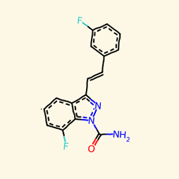 NC(=O)n1nc(C=Cc2cccc(F)c2)c2c[c]cc(F)c21